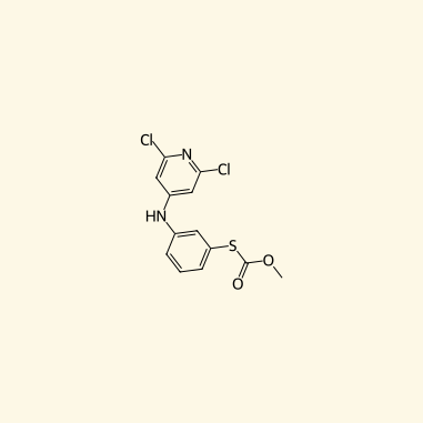 COC(=O)Sc1cccc(Nc2cc(Cl)nc(Cl)c2)c1